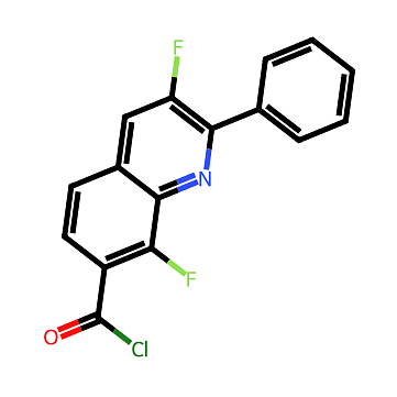 O=C(Cl)c1ccc2cc(F)c(-c3ccccc3)nc2c1F